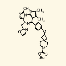 Cc1sc2c(c1C)C(c1ccc(OC3CC4(CCN(C(=O)OC(C)(C)C)CC4)C3)cc1)=N[C@@H](Cc1ncco1)c1nnc(C)n1-2